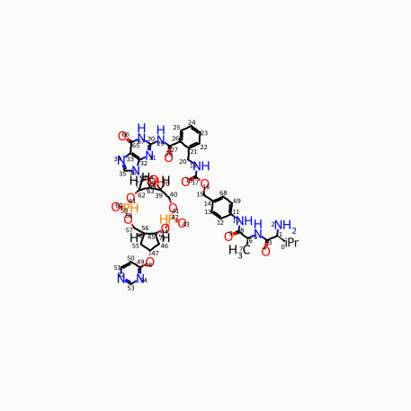 CC(C)[C@H](N)C(=O)N[C@@H](C)C(=O)Nc1ccc(COC(=O)NCc2ccccc2C(=O)Nc2nc3c(ncn3[C@@H]3O[C@@H]4CO[PH](=O)O[C@H]5C[C@H](Oc6ccncn6)C[C@@H]5CO[PH](=O)O[C@@H]3[C@@H]4O)c(=O)[nH]2)cc1